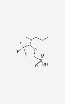 CCCC(C)C(OCS(=O)(=O)O)C(F)(F)F